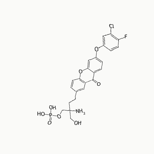 NC(CO)(CCc1ccc2oc3cc(Oc4ccc(F)c(Cl)c4)ccc3c(=O)c2c1)COP(=O)(O)O